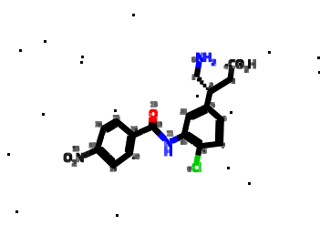 NC[C@H](CC(=O)O)c1ccc(Cl)c(NC(=O)c2ccc([N+](=O)[O-])cc2)c1